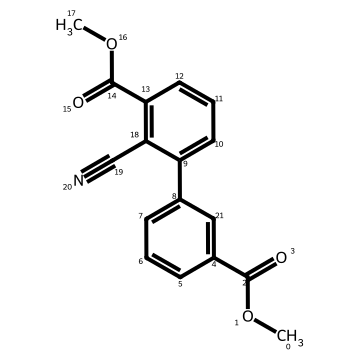 COC(=O)c1cccc(-c2cccc(C(=O)OC)c2C#N)c1